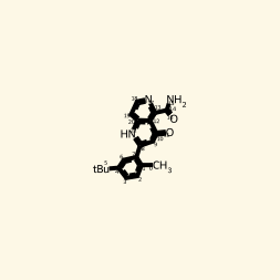 Cc1ccc(C(C)(C)C)cc1-c1cc(=O)c2c(C(N)=O)nccc2[nH]1